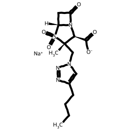 CCCCc1cn(C[C@@]2(C)[C@H](C(=O)[O-])N3C(=O)C[C@H]3S2(=O)=O)nn1.[Na+]